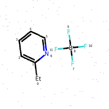 CCc1ccccn1.F[B-](F)(F)F